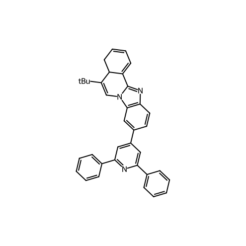 CC(C)(C)C1=Cn2c(nc3ccc(-c4cc(-c5ccccc5)nc(-c5ccccc5)c4)cc32)C2=CC=CCC21